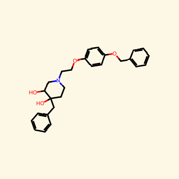 OC1CN(CCOc2ccc(OCc3ccccc3)cc2)CCC1(O)Cc1ccccc1